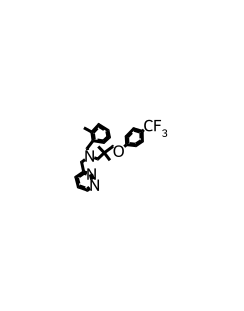 Cc1ccccc1CN(Cc1cccnn1)CC(C)(C)COc1ccc(C(F)(F)F)cc1